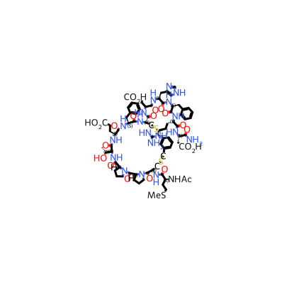 CSCC[C@H](NC(C)=O)C(=O)N[C@@H]1CSCc2cccc(c2)CSC[C@@H](C(=O)NC(CC(=O)O)C(=O)N[C@@H](Cc2c[nH]cn2)C(=O)N[C@@H](Cc2ccccc2)C(=O)N[C@@H](CCCNC(=N)N)C(=O)N[C@@H](CC(=O)O)C(N)=O)NC(=O)[C@H](Cc2ccccc2)NC(=O)[C@H](CCC(=O)O)NC(=O)[C@H]([C@@H](C)O)NC(=O)[C@@H]2CCCN2C(=O)[C@@H]2CCCN2C1=O